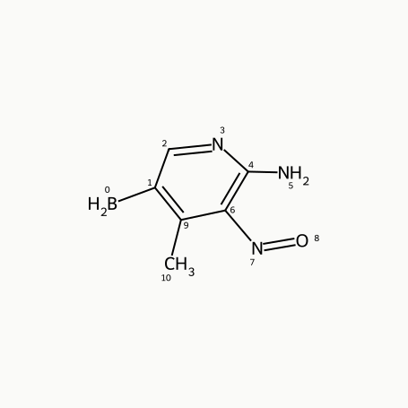 Bc1cnc(N)c(N=O)c1C